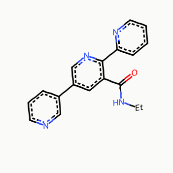 CCNC(=O)c1cc(-c2cccnc2)cnc1-c1ccccn1